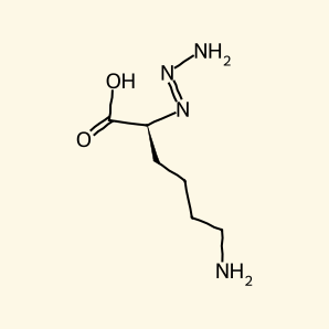 NCCCC[C@H](N=NN)C(=O)O